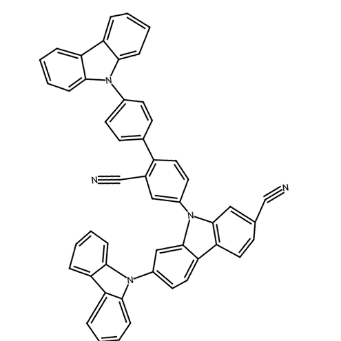 N#Cc1ccc2c3ccc(-n4c5ccccc5c5ccccc54)cc3n(-c3ccc(-c4ccc(-n5c6ccccc6c6ccccc65)cc4)c(C#N)c3)c2c1